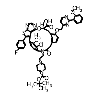 COc1ccccc1-c1nccc(COc2ccc3cc2C[C@H](C(=O)O)Oc2ncnc4sc(-c5ccc(F)cc5)c(c24)-c2ccc(c(Cl)c2C)N(CCN2CCN(C(=O)OC(C)(C)C)CC2)C(=O)C3)n1